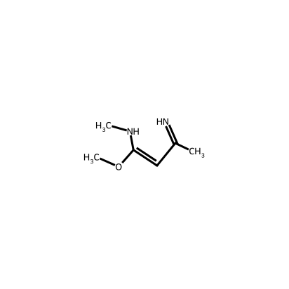 CN/C(=C\C(C)=N)OC